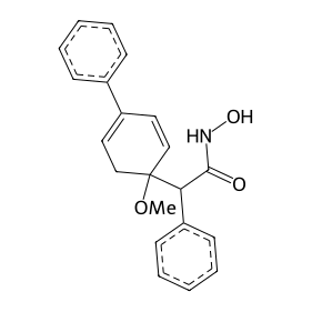 COC1(C(C(=O)NO)c2ccccc2)C=CC(c2ccccc2)=CC1